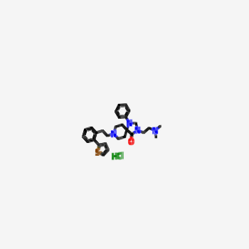 CN(C)CCN1CN(c2ccccc2)C2(CCN(CCc3ccccc3-c3cccs3)CC2)C1=O.Cl